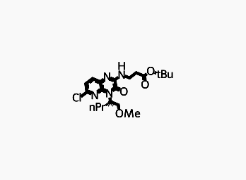 CCC[C@H](COC)n1c(=O)c(NCCC(=O)OC(C)(C)C)nc2ccc(Cl)nc21